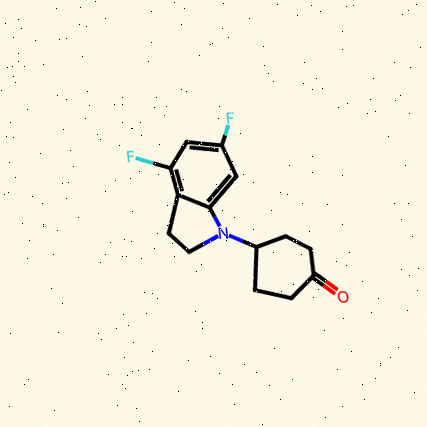 O=C1CCC(N2CCc3c(F)cc(F)cc32)CC1